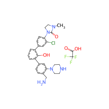 CN1CCN(c2ccc(-c3cccc(-c4ccc(CN)c(N5CCNCC5)c4)c3O)cc2Cl)C1=O.O=C(O)C(F)(F)F